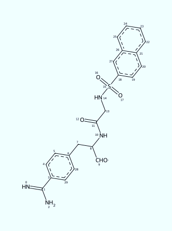 N=C(N)c1ccc(CC([C]=O)NC(=O)CNS(=O)(=O)c2ccc3ccccc3c2)cc1